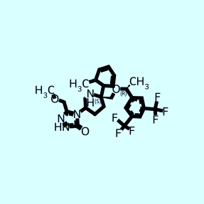 COCc1n[nH]c(=O)n1C1CC[C@@](CO[C@H](C)c2cc(C(F)(F)F)cc(C(F)(F)F)c2)(C2C=CC=CC2C)NC1